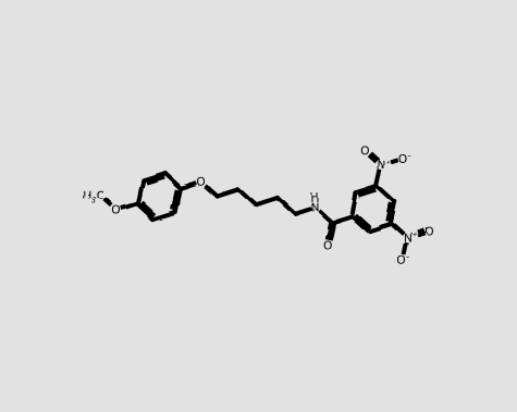 COc1ccc(OCCCCCNC(=O)c2cc([N+](=O)[O-])cc([N+](=O)[O-])c2)cc1